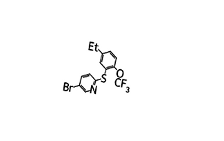 CCc1ccc(OC(F)(F)F)c(Sc2ccc(Br)cn2)c1